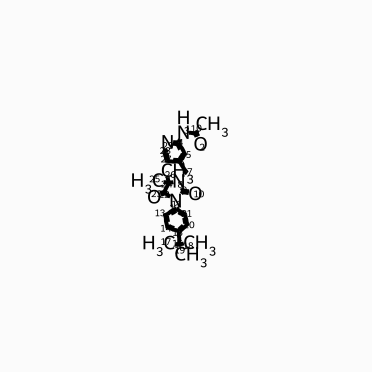 CC(=O)Nc1cc(CN2C(=O)N(c3ccc(C(C)(C)C)cc3)C(=O)C2(C)C)ccn1